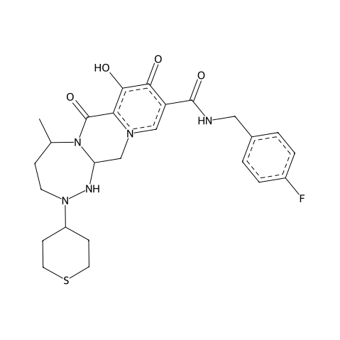 CC1CCN(C2CCSCC2)NC2Cn3cc(C(=O)NCc4ccc(F)cc4)c(=O)c(O)c3C(=O)N12